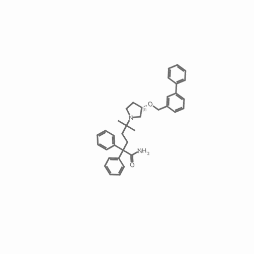 CC(C)(CCC(C(N)=O)(c1ccccc1)c1ccccc1)N1CC[C@H](OCc2cccc(-c3ccccc3)c2)C1